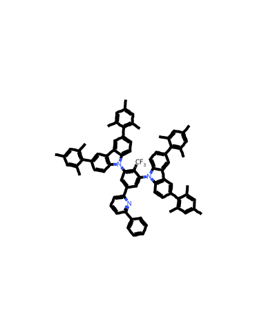 Cc1cc(C)c(-c2ccc3c(c2)c2cc(-c4c(C)cc(C)cc4C)ccc2n3-c2cc(-c3cccc(-c4ccccc4)n3)cc(-n3c4ccc(-c5c(C)cc(C)cc5C)cc4c4cc(-c5c(C)cc(C)cc5C)ccc43)c2C(F)(F)F)c(C)c1